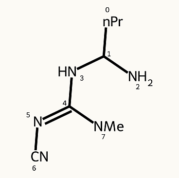 CCCC(N)N/C(=N/C#N)NC